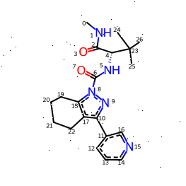 CNC(=O)[C@@H](NC(=O)n1nc(-c2cccnc2)c2c1CCCC2)C(C)(C)C